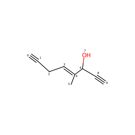 C#CC/C=C(\C)C(O)C#C